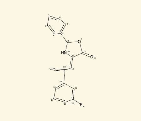 O=C1OC(c2ccccc2)N/C1=C\C(=O)c1cccc(F)c1